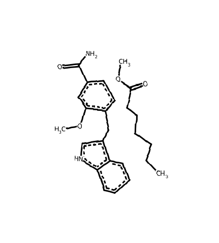 CCCCCCC(=O)OC.COc1cc(C(N)=O)ccc1Cc1c[nH]c2ccccc12